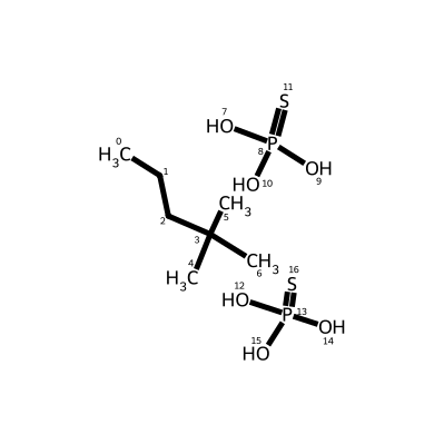 CCCC(C)(C)C.OP(O)(O)=S.OP(O)(O)=S